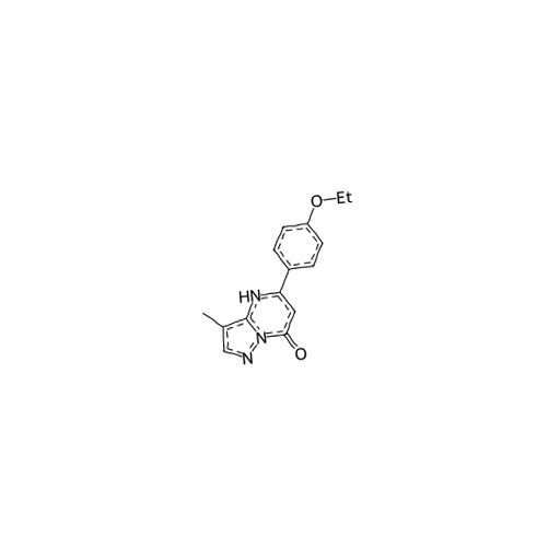 CCOc1ccc(-c2cc(=O)n3ncc(C)c3[nH]2)cc1